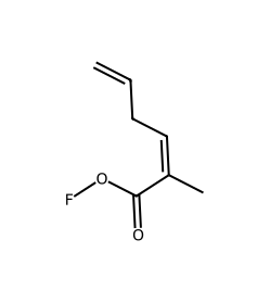 C=CCC=C(C)C(=O)OF